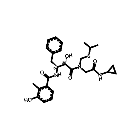 Cc1c(O)cccc1C(=O)N[C@@H](Cc1ccccc1)[C@H](O)C(=O)N(CSC(C)C)CC(=O)NC1CC1